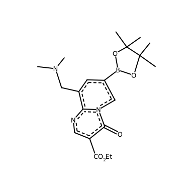 CCOC(=O)c1cnc2c(CN(C)C)cc(B3OC(C)(C)C(C)(C)O3)cn2c1=O